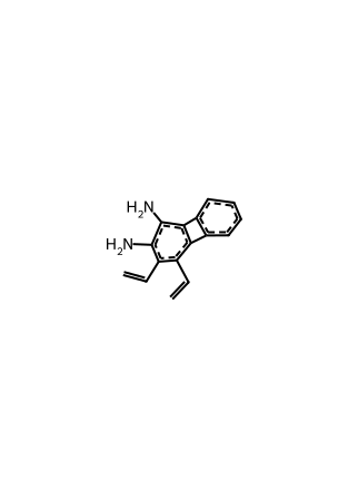 C=Cc1c(N)c(N)c2c(c1C=C)-c1ccccc1-2